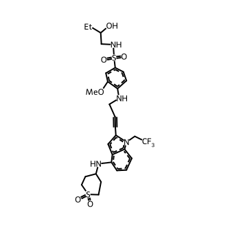 CCC(O)CNS(=O)(=O)c1ccc(NCC#Cc2cc3c(NC4CCS(=O)(=O)CC4)cccc3n2CC(F)(F)F)c(OC)c1